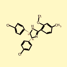 CCOc1cc(C)ccc1C1=N[C@H](c2ccc(Cl)cc2)[C@H](c2ccc(Cl)cc2)N1